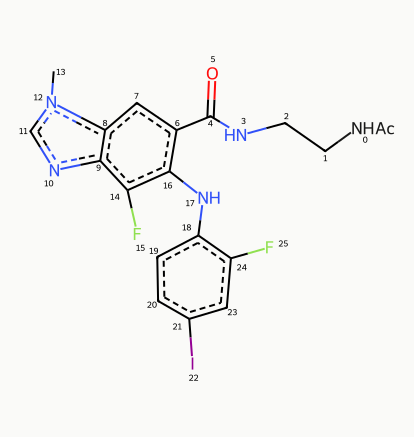 CC(=O)NCCNC(=O)c1cc2c(ncn2C)c(F)c1Nc1ccc(I)cc1F